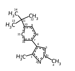 Cc1nn(C)cc1-c1ccc(C(C)(C)C)cc1